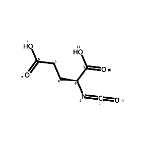 O=C=N[C@@H](CCC(=O)O)C(=O)O